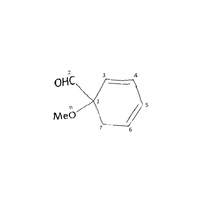 COC1(C=O)C=CC=CC1